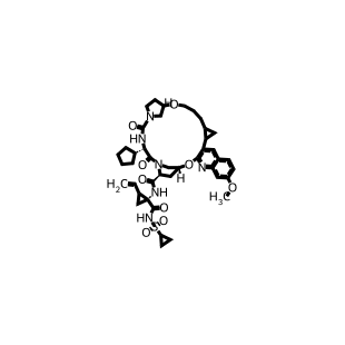 C=CC1C[C@]1(NC(=O)[C@@H]1C[C@@H]2CN1C(=O)[C@H](C1CCCC1)NC(=O)N1CC[C@@H](C1)OCCCC1CC1c1cc3ccc(OC)cc3nc1O2)C(=O)NS(=O)(=O)C1CC1